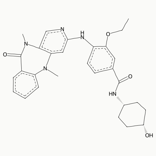 CCOc1cc(C(=O)N[C@H]2CC[C@@H](O)CC2)ccc1Nc1cc2c(cn1)N(C)C(=O)c1ccccc1N2C